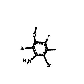 COc1c(F)c(C)c(Br)c(N)c1Br